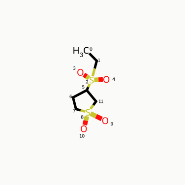 CCS(=O)(=O)C1CCS(=O)(=O)C1